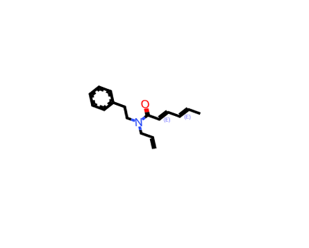 C=CCN(CCc1ccccc1)C(=O)/C=C/C=C/C